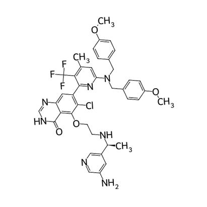 COc1ccc(CN(Cc2ccc(OC)cc2)c2cc(C)c(C(F)(F)F)c(-c3cc4nc[nH]c(=O)c4c(OCCN[C@@H](C)c4cncc(N)c4)c3Cl)n2)cc1